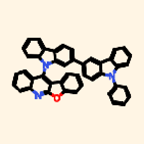 c1ccc(-n2c3ccccc3c3cc(-c4ccc5c6ccccc6n(-c6c7ccccc7nc7oc8ccccc8c67)c5c4)ccc32)cc1